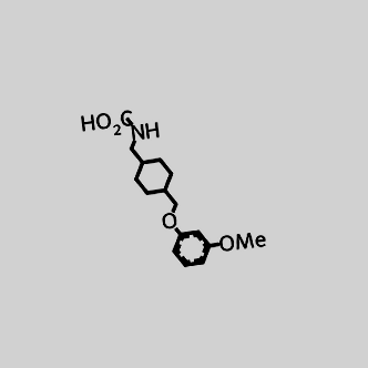 COc1cccc(OCC2CCC(CNC(=O)O)CC2)c1